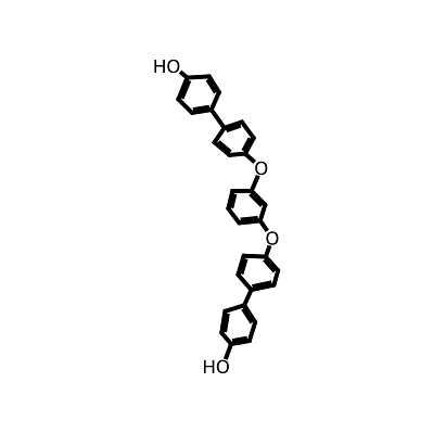 Oc1ccc(-c2ccc(Oc3cccc(Oc4ccc(-c5ccc(O)cc5)cc4)c3)cc2)cc1